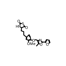 COc1cc(CCCC2NC(=O)SC2=O)ccc1OCc1nc(-c2ccco2)oc1C